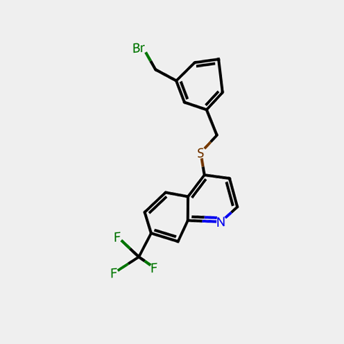 FC(F)(F)c1ccc2c(SCc3cccc(CBr)c3)ccnc2c1